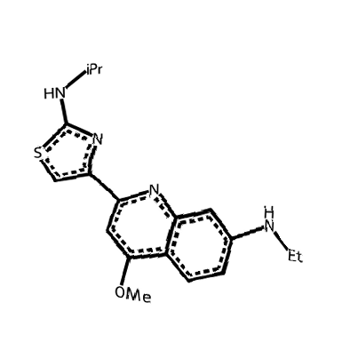 CCNc1ccc2c(OC)cc(-c3csc(NC(C)C)n3)nc2c1